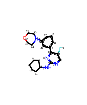 Fc1cnc(NC2CCCCC2)nc1-c1cccc(N2CCOCC2)c1